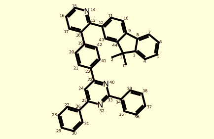 CC1(C)c2ccccc2-c2ccc(-c3ncccc3-c3ccc(-c4cc(-c5ccccc5)nc(-c5ccccc5)n4)cc3)cc21